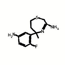 CC1(c2cc(N)ccc2F)CCSCC(N)=N1